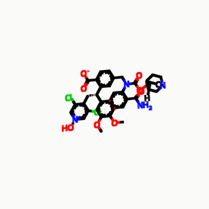 COc1ccc([C@H](Cc2c(Cl)c[n+](O)cc2Cl)c2cc(CN(C(=O)O[C@H]3CN4CCC3CC4)c3ccccc3C(N)=O)ccc2C(=O)[O-])cc1OC